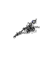 COC(=O)N[C@H](C(=O)N[C@@H](Cc1ccc(C#Cc2ccc(N3CC4[C@@H]3CN4C3COC3)nc2)cc1)[C@@H](O)CN(Cc1c(F)cc(C(=N)/C=C\NCC(F)F)cc1F)NC(=O)[C@@H](NC(=O)OC)C(C)(C)C(F)(F)F)C(C)(C)C(F)(F)F